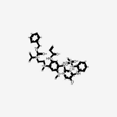 C=CC(=O)Nc1cc(Nc2ncc(Cl)c(Nc3ccccc3NS(C)(=O)=O)n2)c(OC)cc1N(C)CCN(C(=O)OCc1ccccc1)C(C)C